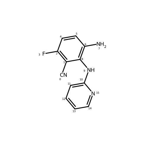 N#Cc1c(F)ccc(N)c1Nc1ccccn1